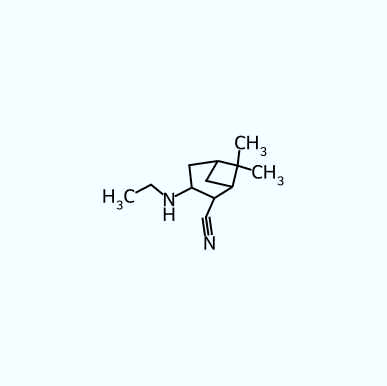 CCNC1CC2CC(C1C#N)C2(C)C